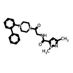 Cc1cc(C(=O)NCC(=O)N2CCN(c3ccccc3-c3ccccc3)CC2)n(C)n1